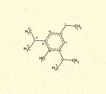 [CH2]Cc1cc(C(C)C)c(O)c(C(C)C)c1